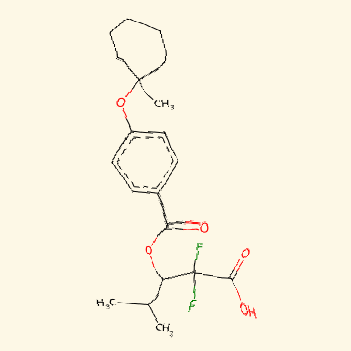 CC(C)C(OC(=O)c1ccc(OC2(C)CCCCC2)cc1)C(F)(F)C(=O)O